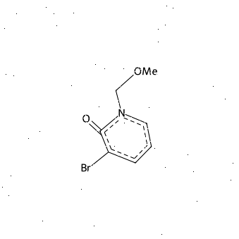 COCn1cccc(Br)c1=O